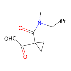 CC(C)CN(C)C(=O)C1(C(=O)C=O)CC1